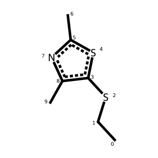 CCSc1sc(C)nc1C